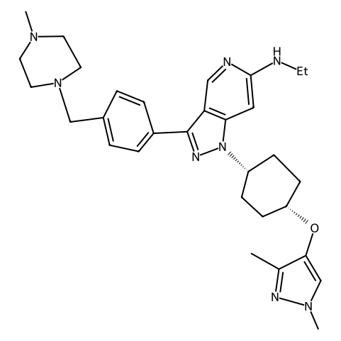 CCNc1cc2c(cn1)c(-c1ccc(CN3CCN(C)CC3)cc1)nn2[C@H]1CC[C@@H](Oc2cn(C)nc2C)CC1